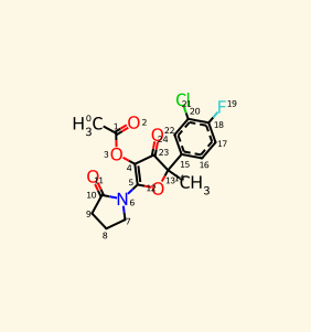 CC(=O)OC1=C(N2CCCC2=O)OC(C)(c2ccc(F)c(Cl)c2)C1=O